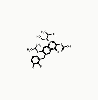 CC(C)Oc1cc2c(cc1Cc1cccc(Cl)c1F)c(=O)c(OC(=O)O)cn2[C@H](CO)C(C)C